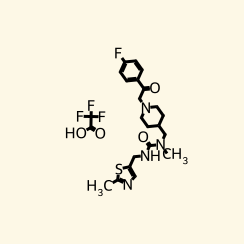 Cc1ncc(CNC(=O)N(C)CC2CCN(CC(=O)c3ccc(F)cc3)CC2)s1.O=C(O)C(F)(F)F